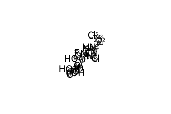 O=P(O)(O)CP(=O)(O)OC[C@H]1O[C@@H](n2cnc3c(NCc4cccc(Cl)c4)nc(Cl)nc32)[C@@H](F)[C@@H]1O